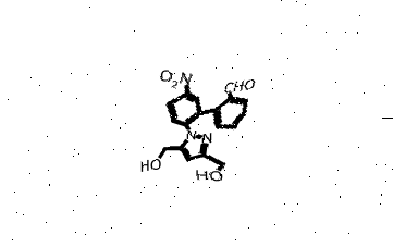 O=Cc1ccccc1-c1cc([N+](=O)[O-])ccc1-n1nc(CO)cc1CO